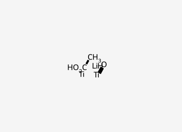 CC(=O)O.[LiH].[O]=[Ti].[Ti]